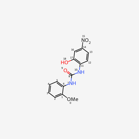 COc1ccccc1NC(=O)Nc1ccc([N+](=O)[O-])cc1O